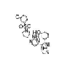 COc1cccc(S(=O)(=O)N2CCC[C@@H](Nc3nccc(C4=C(C5=CC=CC(O)C5)NC5SCCN45)n3)C2)c1